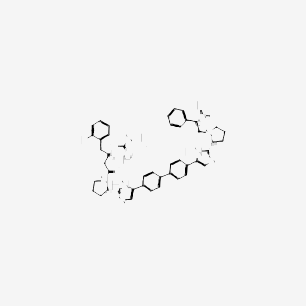 CCN(CC)[C@@H](C(=O)N1CCC[C@H]1c1ncc(-c2ccc(-c3ccc(-c4cnc([C@@H]5CCCN5C(=O)C[C@@](C)(Cc5ccccc5F)OC(N)=O)[nH]4)cc3)cc2)[nH]1)c1ccccc1